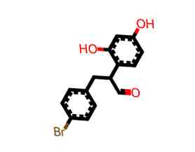 O=CC(Cc1ccc(Br)cc1)c1ccc(O)cc1O